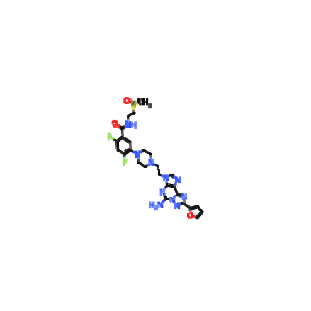 C[S@@+]([O-])CCNC(=O)c1cc(N2CCN(CCn3cnc4c3nc(N)n3nc(-c5ccco5)nc43)CC2)c(F)cc1F